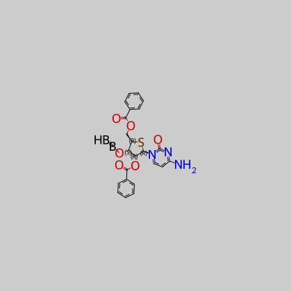 B=BO[C@H]1[C@@H](OC(=O)c2ccccc2)[C@H](n2ccc(N)nc2=O)S[C@@H]1COC(=O)c1ccccc1